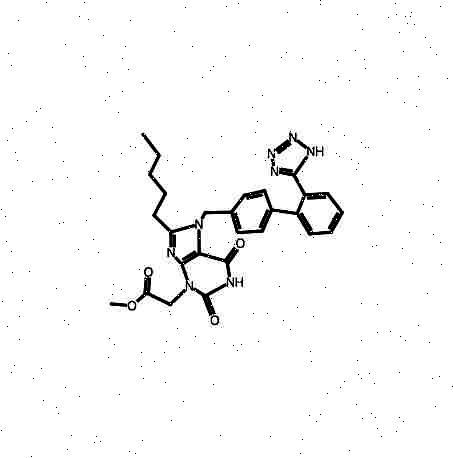 CCCCCc1nc2c(c(=O)[nH]c(=O)n2CC(=O)OC)n1Cc1ccc(-c2ccccc2-c2nnn[nH]2)cc1